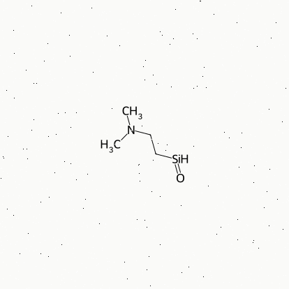 CN(C)CC[SiH]=O